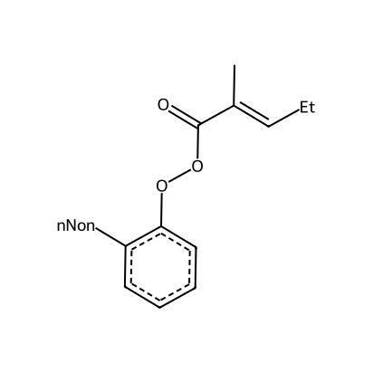 CCC=C(C)C(=O)OOc1ccccc1CCCCCCCCC